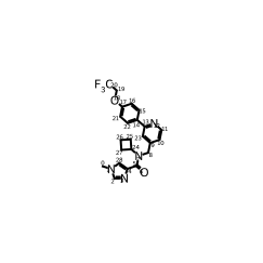 Cn1cnc(C(=O)N(Cc2ccnc(-c3ccc(OCC(F)(F)F)cc3)c2)C2CCC2)c1